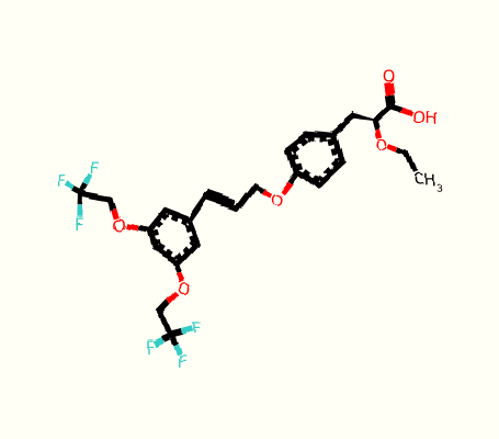 CCO[C@@H](Cc1ccc(OCC=Cc2cc(OCC(F)(F)F)cc(OCC(F)(F)F)c2)cc1)C(=O)O